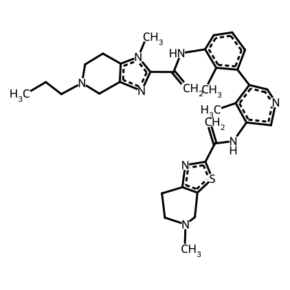 C=C(Nc1cncc(-c2cccc(NC(=C)c3nc4c(n3C)CCN(CCC)C4)c2C)c1C)c1nc2c(s1)CN(C)CC2